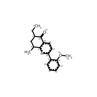 CCC1CC(C)c2nc(-c3ccccc3OC)ccc2C1=O